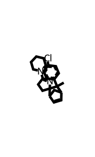 CC1(c2ccc(Cl)cc2)C2C=CC(C2)C12CCC(N1CCCCC1)=N2